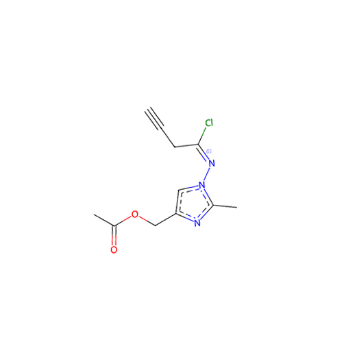 C#CC/C(Cl)=N\n1cc(COC(C)=O)nc1C